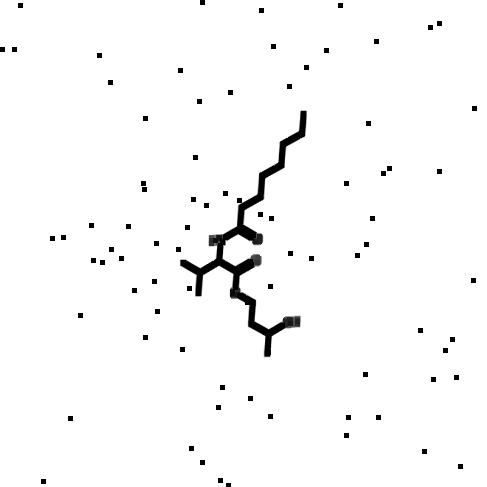 CCCCCCCC(=O)NC(C(=O)OCCC(C)O)C(C)C